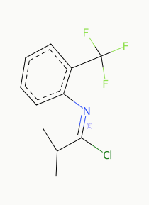 CC(C)/C(Cl)=N\c1ccccc1C(F)(F)F